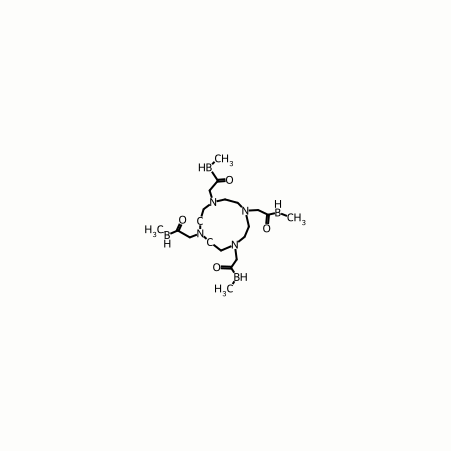 CBC(=O)CN1CCN(CC(=O)BC)CCN(CC(=O)BC)CCN(CC(=O)BC)CC1